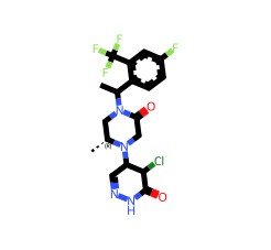 CC(c1ccc(F)cc1C(F)(F)F)N1C[C@@H](C)N(C2C=NNC(=O)C2Cl)CC1=O